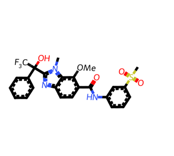 COc1c(C(=O)Nc2cccc(S(C)(=O)=O)c2)ccc2nc(C(O)(c3ccccc3)C(F)(F)F)n(C)c12